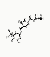 C=C(C/C=C\C(=C/CC(/C=C(\CC)C(C)F)=N/CC)N(F)F)CNNC